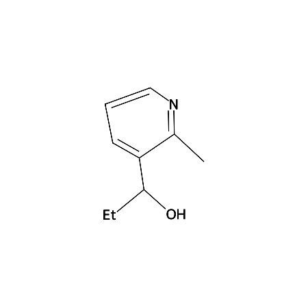 [CH2]CC(O)c1cccnc1C